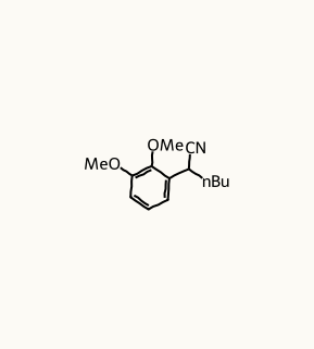 CCCCC(C#N)c1cccc(OC)c1OC